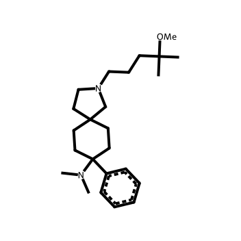 COC(C)(C)CCCN1CCC2(CCC(c3ccccc3)(N(C)C)CC2)C1